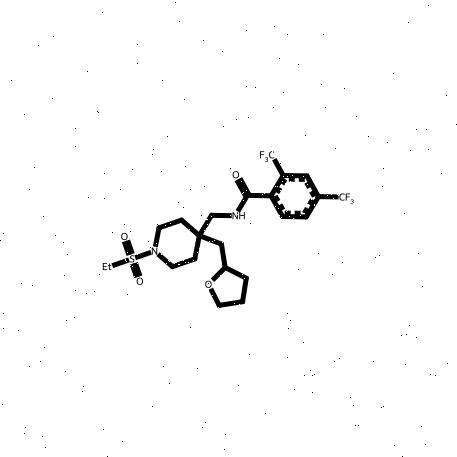 CCS(=O)(=O)N1CCC(CNC(=O)c2ccc(C(F)(F)F)cc2C(F)(F)F)(CC2CCCO2)CC1